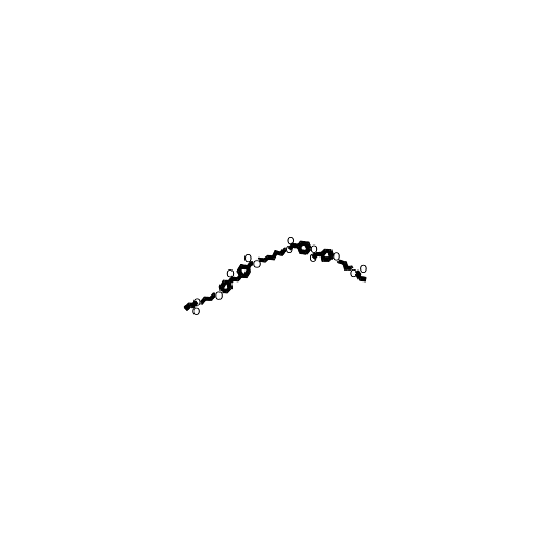 C=CC(=O)OCCCCOc1ccc(C(=O)Cc2ccc(C(=O)OCCCCCCCOC(=O)c3ccc(OC(=O)c4ccc(OCCCCOC(=O)C=C)cc4)cc3)cc2)cc1